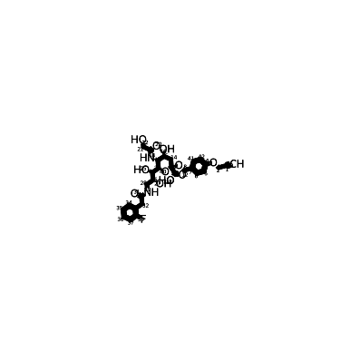 C#CCOc1ccc(CO[C@]2(C(=O)O)C[C@H](O)[C@@H](NC(=O)CO)[C@H]([C@H](O)[C@H](O)CNC(=O)Cc3ccccc3F)O2)cc1